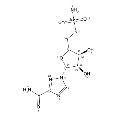 NC(=O)c1ncn([C@@H]2OC(CNS(N)(=O)=O)[C@@H](O)[C@H]2O)n1